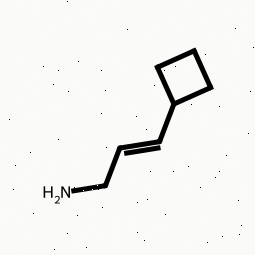 NCC=CC1CCC1